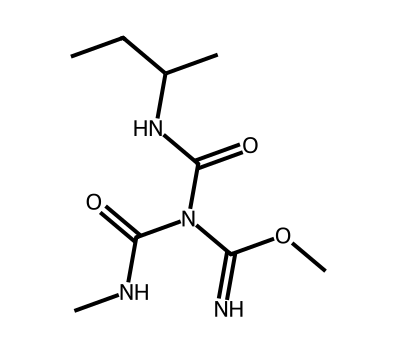 CCC(C)NC(=O)N(C(=N)OC)C(=O)NC